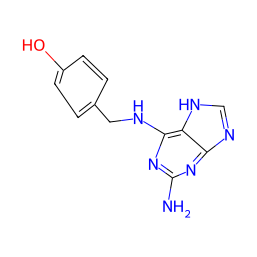 Nc1nc(NCc2ccc(O)cc2)c2[nH]cnc2n1